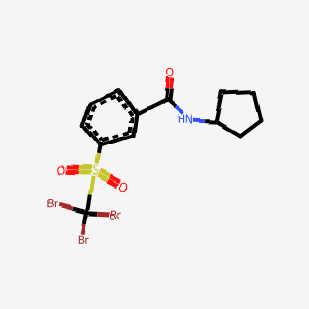 O=C(NC1CCCC1)c1cccc(S(=O)(=O)C(Br)(Br)Br)c1